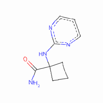 NC(=O)C1(Nc2ncccn2)CCC1